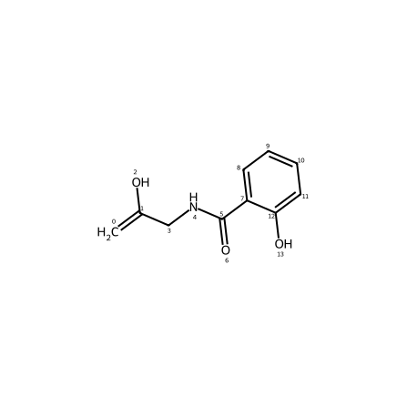 C=C(O)CNC(=O)c1ccccc1O